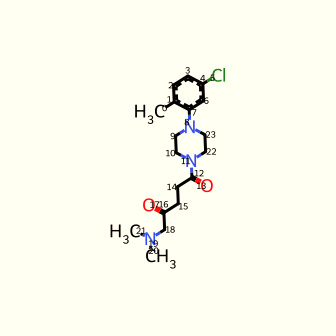 Cc1ccc(Cl)cc1N1CCN(C(=O)CCC(=O)CN(C)C)CC1